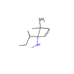 C=CC(NC)(C(C)CC)C(C)(C)[SiH3]